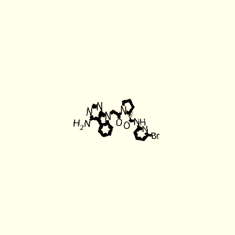 Nc1ncnc2c1c1ccccc1n2CC(=O)N1CCC[C@H]1C(=O)Nc1cccc(Br)n1